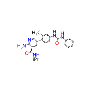 Cc1cc(NC(=O)Nc2ccccc2)ccc1-c1cnc(N)c(C(=O)NC(C)C)c1